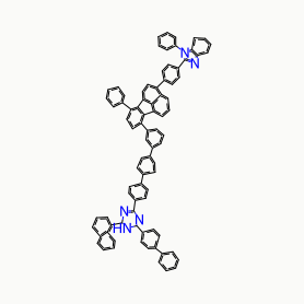 c1ccc(-c2ccc(C3=NC(c4ccc(-c5ccc(-c6cccc(-c7ccc(-c8ccccc8)c8c7-c7cccc9c(-c%10ccc(-c%11nc%12ccccc%12n%11-c%11ccccc%11)cc%10)ccc-8c79)c6)cc5)cc4)=NC(c4cccc5ccccc45)N3)cc2)cc1